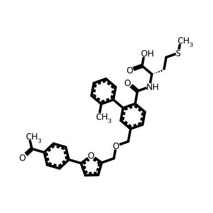 CSCC[C@H](NC(=O)c1ccc(COCc2ccc(-c3ccc(C(C)=O)cc3)o2)cc1-c1ccccc1C)C(=O)O